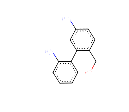 Nc1ccc(CO)c(-c2ccccc2N)c1